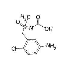 CS(=O)(Cc1cc(N)ccc1Cl)=NC(=O)O